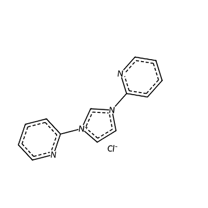 [Cl-].c1ccc(-n2cc[n+](-c3ccccn3)c2)nc1